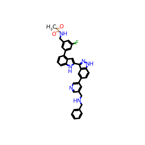 CS(=O)(=O)NCc1cc(F)cc(-c2cccc3[nH]c(-c4n[nH]c5ccc(-c6cncc(CNCc7ccccc7)c6)cc45)cc23)c1